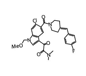 COCn1cc(C(=O)C(=O)N(C)C)c2cc(C(=O)N3CCC(=Cc4ccc(F)cc4)CC3)c(Cl)cc21